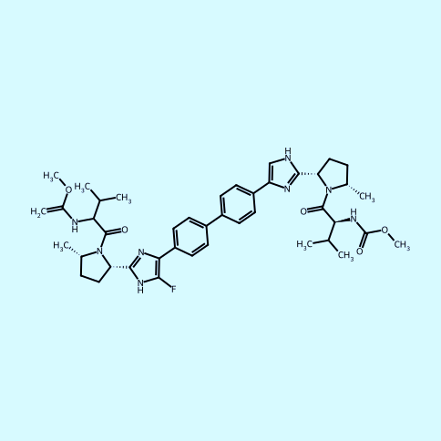 C=C(NC(C(=O)N1[C@@H](C)CC[C@H]1c1nc(-c2ccc(-c3ccc(-c4c[nH]c([C@@H]5CC[C@H](C)N5C(=O)[C@@H](NC(=O)OC)C(C)C)n4)cc3)cc2)c(F)[nH]1)C(C)C)OC